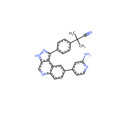 CC(C)(C#N)c1ccc(-c2n[nH]c3cnc4ccc(-c5ccnc(N)c5)cc4c23)cc1